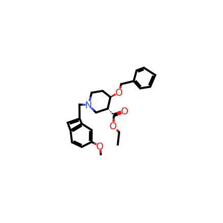 CCOC(=O)[C@@H]1CN(CC2=Cc3ccc(OC)cc32)CC[C@H]1OCc1ccccc1